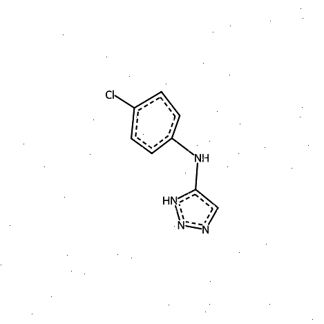 Clc1ccc(Nc2cnn[nH]2)cc1